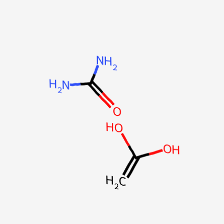 C=C(O)O.NC(N)=O